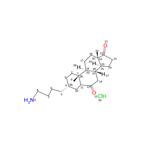 C[C@]12CC[C@@H](CCCCN)CC1C(=O)C[C@@H]1[C@@H]2CC[C@]2(C)C(=O)CC[C@@H]12.Cl